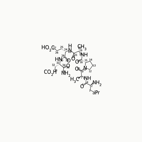 CC(C)C[C@H](N)C(=O)N[C@@H](C)C(=O)N1CCC[C@H]1C(=O)N[C@@H](C)C(=O)N[C@@H](CCC(=O)O)C(=O)N[C@@H](CC(=O)O)C(N)=O